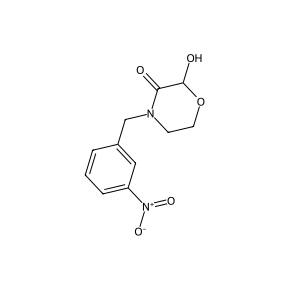 O=C1C(O)OCCN1Cc1cccc([N+](=O)[O-])c1